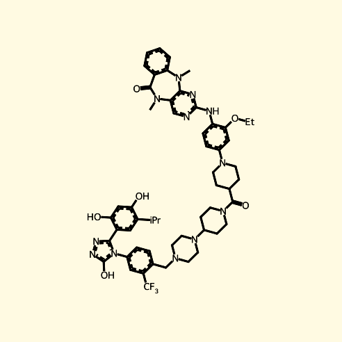 CCOc1cc(N2CCC(C(=O)N3CCC(N4CCN(Cc5ccc(-n6c(O)nnc6-c6cc(C(C)C)c(O)cc6O)cc5C(F)(F)F)CC4)CC3)CC2)ccc1Nc1ncc2c(n1)N(C)c1ccccc1C(=O)N2C